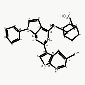 O=C(O)C1C2CCC(CC2)C1Nc1nc(-c2c[nH]c3ncc(F)cc23)nc2c1ccn2-c1ccccc1